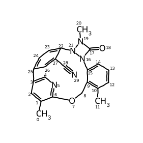 Cc1cc2cnc1OCc1c(C)cccc1-n1c(=O)n(C)n1-c1ccc-2cc1C#N